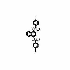 O=C(Oc1ccc(OC(=O)c2ccc(I)cc2)c2ccccc12)c1ccc(I)cc1